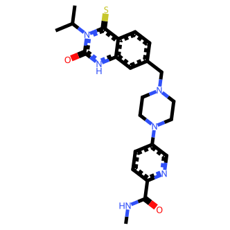 CNC(=O)c1ccc(N2CCN(Cc3ccc4c(=S)n(C(C)C)c(=O)[nH]c4c3)CC2)cn1